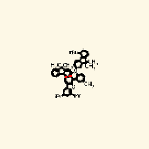 Cc1ccc(N(c2ccc3c(c2)C(C)(C)c2ccccc2-3)c2ccc3c(c2)C(C)(C)c2cccc(C(C)(C)C)c2-3)c(-c2cccc3c2oc2c(C(C)C)cc(C(C)C)cc23)c1